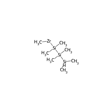 [CH3][Zr][Si](C)(C)[Si](C)(C)[SiH](C)C